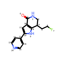 O=C1NCC(CCF)c2[nH]c(-c3ccncc3)cc21